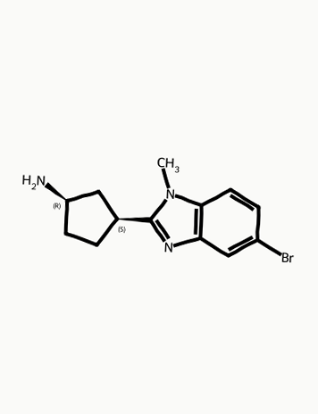 Cn1c([C@H]2CC[C@@H](N)C2)nc2cc(Br)ccc21